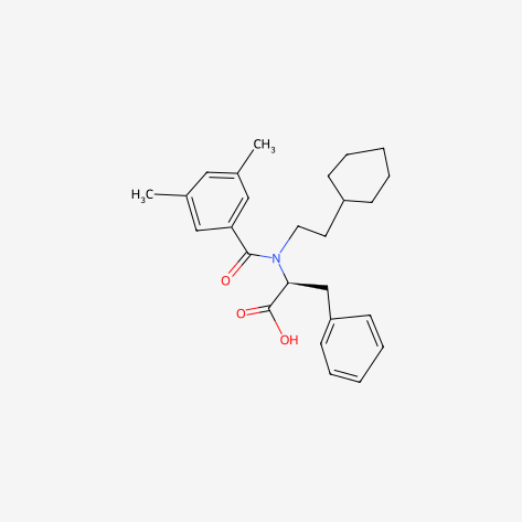 Cc1cc(C)cc(C(=O)N(CCC2CCCCC2)[C@@H](Cc2ccccc2)C(=O)O)c1